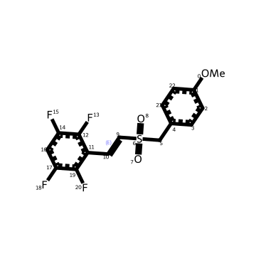 COc1ccc(CS(=O)(=O)/C=C/c2c(F)c(F)cc(F)c2F)cc1